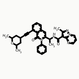 Cc1nn2cccnc2c1C(=O)NC(C)c1cc2cccc(C#CC3CC(C)OC(C)C3)c2c(=O)n1-c1ccccc1